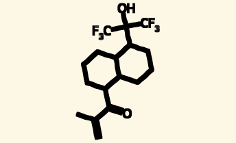 C=C(C)C(=O)C1CCCC2C1CCCC2C(O)(C(F)(F)F)C(F)(F)F